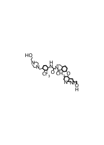 C[C@H]1c2cc(Oc3ccnc4[nH]c(CO)cc34)ccc2CCN1C(=O)Nc1ccc(CN2CCN(CCO)CC2)c(C(F)(F)F)c1